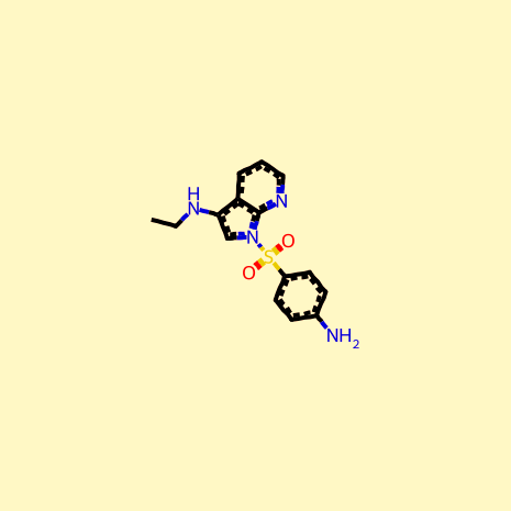 CCNc1cn(S(=O)(=O)c2ccc(N)cc2)c2ncccc12